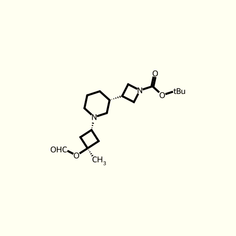 CC(C)(C)OC(=O)N1CC([C@H]2CCCN([C@H]3C[C@](C)(OC=O)C3)C2)C1